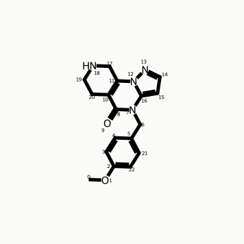 COc1ccc(Cn2c(=O)c3c(n4nccc24)CNCC3)cc1